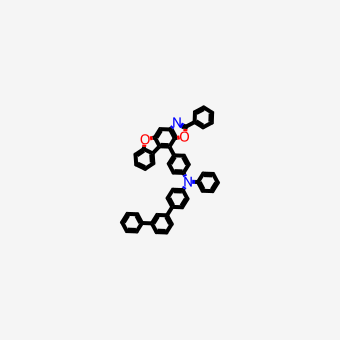 c1ccc(-c2cccc(-c3ccc(N(c4ccccc4)c4ccc(-c5c6oc(-c7ccccc7)nc6cc6oc7ccccc7c56)cc4)cc3)c2)cc1